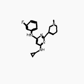 CN1CCCC(c2nc(Nc3cccc(F)c3)cc(NC3CC3)n2)C1